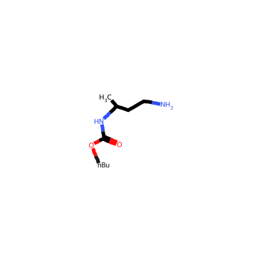 CCCCOC(=O)NC(C)CCN